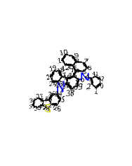 c1ccc(-n2c3ccc4ccccc4c3c3c4c5ccccc5n(-c5ccc6sc7ccccc7c6c5)c4ccc32)cc1